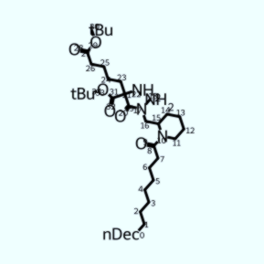 CCCCCCCCCCCCCCCCCC(=O)N1CCCCC1CN(N)C(=O)C(N)(CCCCC(=O)OC(C)(C)C)C(=O)OC(C)(C)C